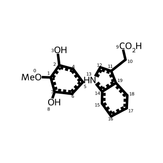 COc1c(O)cccc1O.O=C(O)Cc1c[nH]c2ccccc12